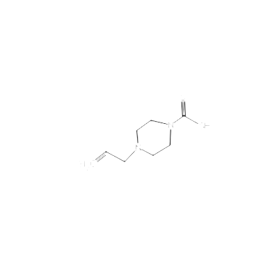 C=CCN1CCN(C(=S)S)CC1